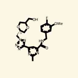 COc1cc(CNC(=O)c2cc(-c3nnn(C[C@H]4COC(CO)CO4)n3)nc(C)n2)ccc1F